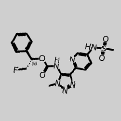 Cn1nnc(-c2ccc(NS(C)(=O)=O)cn2)c1NC(=O)O[C@H](CF)c1ccccc1